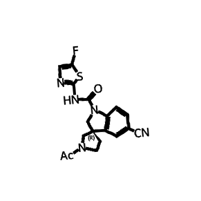 CC(=O)N1CC[C@@]2(C1)CN(C(=O)Nc1ncc(F)s1)c1ccc(C#N)cc12